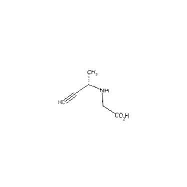 C#C[C@H](C)NCC(=O)O